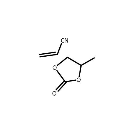 C=CC#N.CC1COC(=O)O1